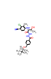 Cc1c(N[C@@H](C(=O)NNC(=O)c2ccc(CO[Si](C)(C)C(C)(C)C)cc2)[C@H](C)O)ccc(C#N)c1Cl